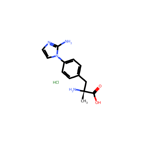 C[C@@](N)(Cc1ccc(-n2ccnc2N)cc1)C(=O)O.Cl